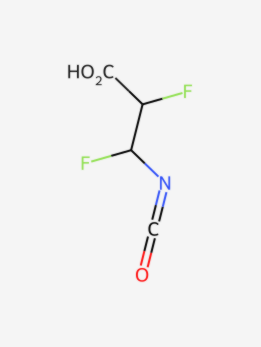 O=C=NC(F)C(F)C(=O)O